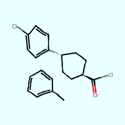 Cc1ccccc1.O=C(Cl)[C@H]1CC[C@H](c2ccc(Cl)cc2)CC1